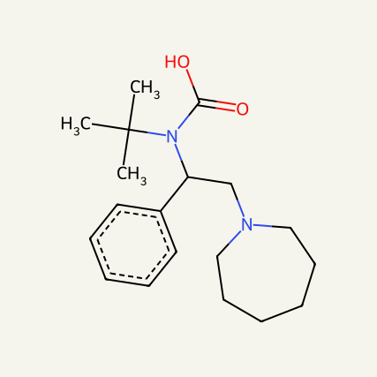 CC(C)(C)N(C(=O)O)C(CN1CCCCCC1)c1ccccc1